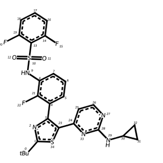 CC(C)(C)c1nc(-c2cccc(NS(=O)(=O)c3c(F)cccc3F)c2F)c(-c2ccnc(NC3CC3)n2)s1